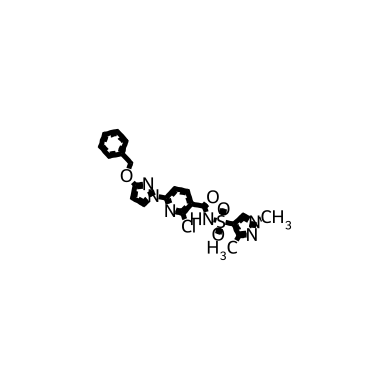 Cc1nn(C)cc1S(=O)(=O)NC(=O)c1ccc(-n2ccc(OCc3ccccc3)n2)nc1Cl